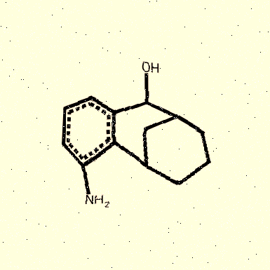 Nc1cccc2c1C1CCCC(C1)C2O